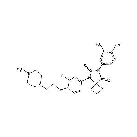 CN1CCN(CCOC2C=CC(N3C(=S)N(c4cnc(C#N)c(C(F)(F)F)c4)C(=O)C34CCC4)=CC2F)CC1